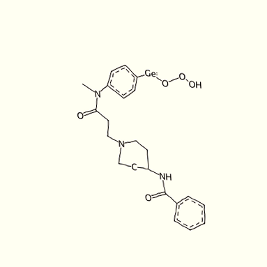 CN(C(=O)CCN1CCC(NC(=O)c2ccccc2)CC1)c1cc[c]([Ge][O]OO)cc1